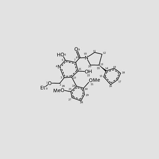 CCOCc1nc(O)c(C(=O)N2CC[C@@H](c3ccccc3)C2)c(O)c1-c1c(OC)cccc1OC